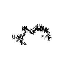 CC(C)(C)OC(=O)N1CC(CCCn2nnnc2CNc2cccc(SNC(=O)c3ccc(-n4ccc(OCCC5(C(F)(F)F)CC5)n4)nc3Cl)n2)CC1(C)C